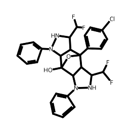 OC12OC(c3ccc(Cl)cc3)(C3C(C(F)F)NN(c4ccccc4)C31)C1C(C(F)F)NN(c3ccccc3)C12